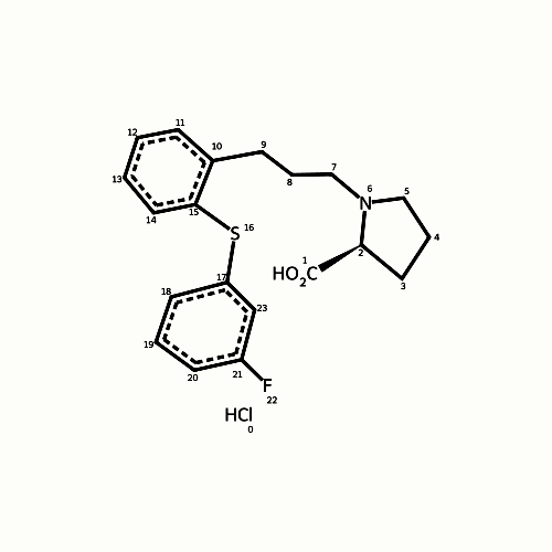 Cl.O=C(O)[C@@H]1CCCN1CCCc1ccccc1Sc1cccc(F)c1